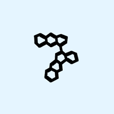 c1ccc2cc3c(-c4cc5cc6ccccc6cc5c5ccccc45)cccc3cc2c1